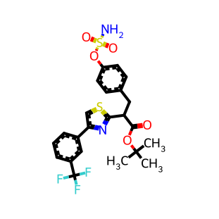 CC(C)(C)OC(=O)C(Cc1ccc(OS(N)(=O)=O)cc1)c1nc(-c2cccc(C(F)(F)F)c2)cs1